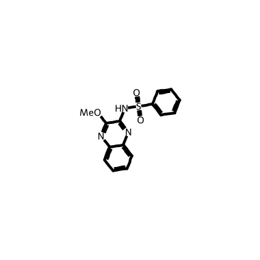 COc1nc2ccccc2nc1NS(=O)(=O)c1ccccc1